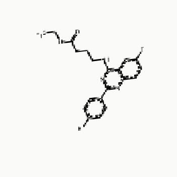 CCOC(=O)CCCNc1nc(-c2ccc(Br)cc2)nc2ccc(F)cc12